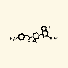 CC(=O)Nc1nc(N2CCN(C(=O)Cc3ccc(N)cc3)C3(CC3)C2)c2cc[nH]c2n1